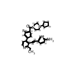 CCc1nccc(-c2ccc(C(=O)N3CCN(C4CCCC4)CC3)c(F)c2)c1C#Cc1ccc(N)nc1